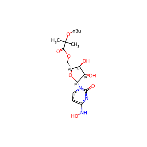 CCCCOC(C)(C)C(=O)OC[C@H]1O[C@@H](n2ccc(NO)nc2=O)[C@H](O)[C@@H]1O